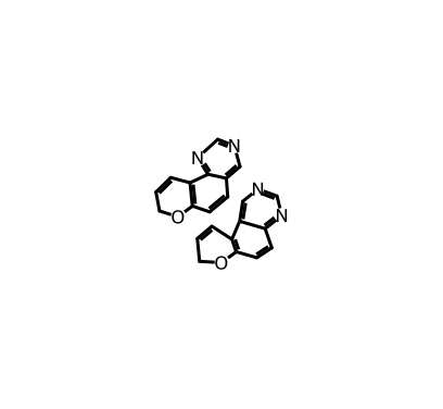 C1=Cc2c(ccc3cncnc23)OC1.C1=Cc2c(ccc3ncncc23)OC1